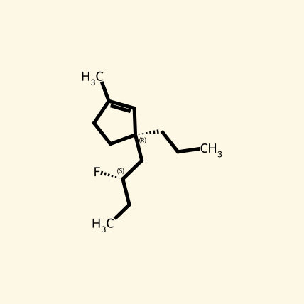 CCC[C@@]1(C[C@@H](F)CC)C=C(C)CC1